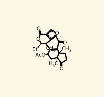 CC[C@H]1OC(=O)c2coc3c2[C@@]1(C)C1=C(C3=O)[C@]2(C)CCC(=O)[C@@]2(C)C[C@H]1OC(C)=O